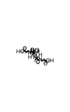 CC(C)(/N=N/C(C)(C)C(=O)NCCC(=O)O)C(=O)NCCC(=O)O.Cl.Cl